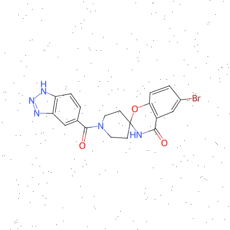 O=C1NC2(CCN(C(=O)c3ccc4[nH]nnc4c3)CC2)Oc2ccc(Br)cc21